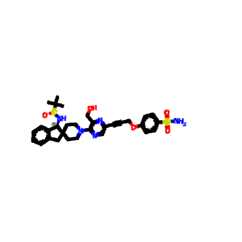 CC(C)(C)[S+]([O-])N[C@@H]1c2ccccc2CC12CCN(c1ncc(C#CCOc3ccc(S(N)(=O)=O)cc3)nc1CO)CC2